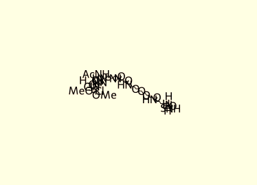 COc1cc(OC)c(Cl)c(N2Cc3cnc(Nc4ccc(N5CCN(C(=O)CCCC(=O)NCCCOCCOCCOCCCNC(=O)CCCC[C@@H]6SC[C@@H]7NC(=O)N[C@@H]76)CC5)cc4NC(C)=O)nc3N(C)C2=O)c1Cl